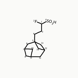 O=S(=O)(O)C(F)CCC12CC3CC(C3)CC(C1)C2